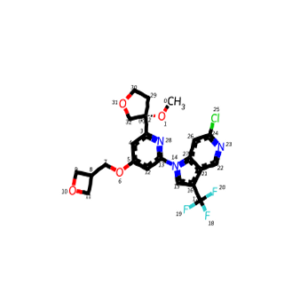 CO[C@@]1(c2cc(OCC3COC3)cc(-n3cc(C(F)(F)F)c4cnc(Cl)cc43)n2)CCOC1